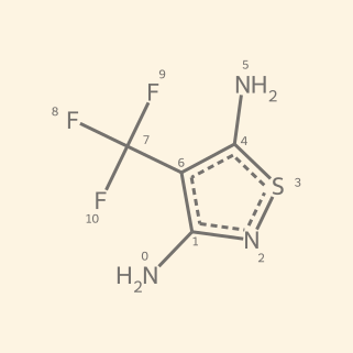 Nc1nsc(N)c1C(F)(F)F